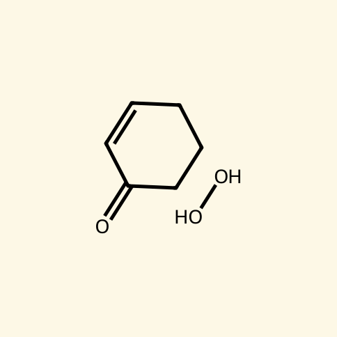 O=C1C=CCCC1.OO